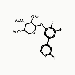 CC(=O)O[C@@H]1[C@@H](OC(C)=O)[C@@H](Oc2cc(-c3ccnc(F)c3)cc(F)c2F)SC[C@H]1OC(C)=O